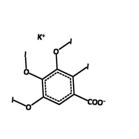 O=C([O-])c1cc(OI)c(OI)c(OI)c1I.[K+]